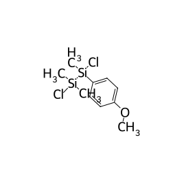 COc1ccc([Si](C)(Cl)[Si](C)(C)Cl)cc1